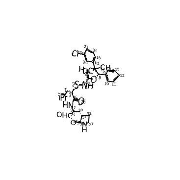 CC(C)C[C@H](SNC(=O)O[C@H](c1ccccc1)C(C)(C)c1cccc(Cl)c1)C(=O)N[C@H](C=O)C[C@@H]1CCNC1=O